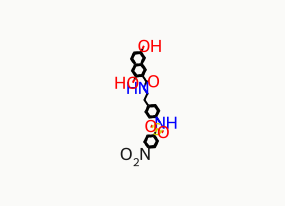 O=C(NCCc1ccc(NS(=O)(=O)c2ccc([N+](=O)[O-])cc2)cc1)c1cc2cc(O)ccc2cc1O